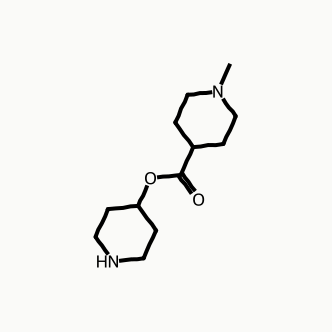 CN1CCC(C(=O)OC2CCNCC2)CC1